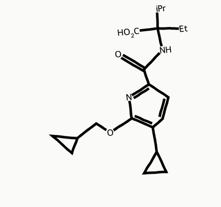 CCC(NC(=O)c1ccc(C2CC2)c(OCC2CC2)n1)(C(=O)O)C(C)C